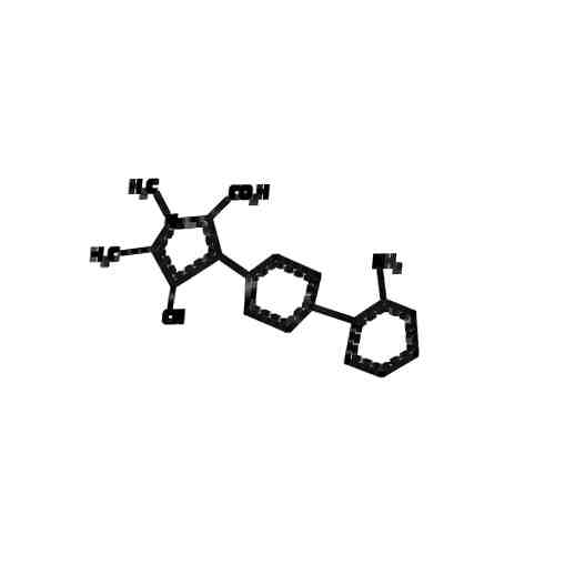 Cc1c(C#N)c(-c2ccc(-c3ccccc3N)cc2)c(C(=O)O)n1C